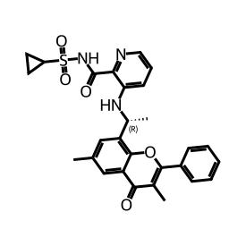 Cc1cc([C@@H](C)Nc2cccnc2C(=O)NS(=O)(=O)C2CC2)c2oc(-c3ccccc3)c(C)c(=O)c2c1